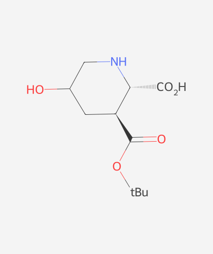 CC(C)(C)OC(=O)[C@H]1CC(O)CN[C@@H]1C(=O)O